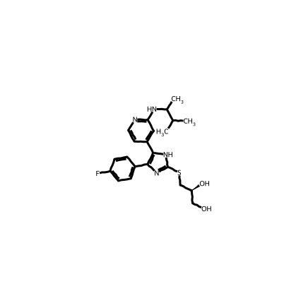 CC(C)C(C)Nc1cc(-c2[nH]c(SC[C@@H](O)CO)nc2-c2ccc(F)cc2)ccn1